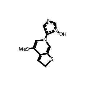 CSC1=CN(c2cncn2O)C=C2SCC=C12